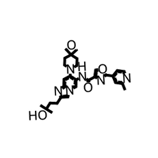 Cc1cc(-c2nc(C(=O)Nc3cn4cc(CCC(C)(C)O)nc4cc3N3CCC4(CC3)COC4)co2)ccn1